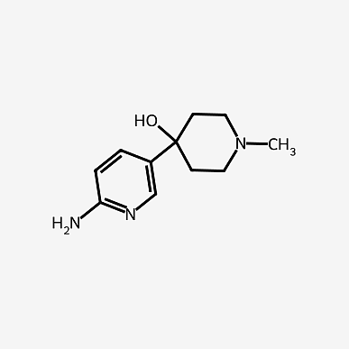 CN1CCC(O)(c2ccc(N)nc2)CC1